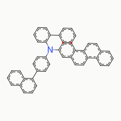 c1ccc(-c2ccccc2N(c2ccc(-c3cccc4ccccc34)cc2)c2ccc3c(ccc4c5ccccc5ccc34)c2)cc1